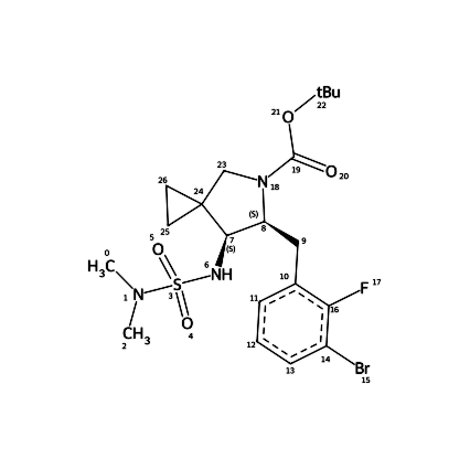 CN(C)S(=O)(=O)N[C@@H]1[C@H](Cc2cccc(Br)c2F)N(C(=O)OC(C)(C)C)CC12CC2